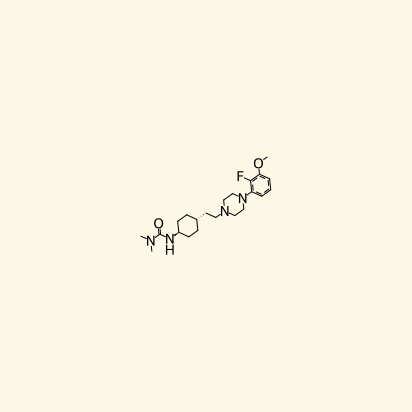 COc1cccc(N2CCN(CC[C@H]3CC[C@H](NC(=O)N(C)C)CC3)CC2)c1F